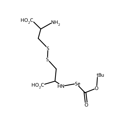 CC(C)(C)OC(=O)[Se]NC(CSSCC(N)C(=O)O)C(=O)O